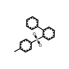 Cc1ccc(S(=O)(=O)c2ccccc2-c2ccccc2)cc1